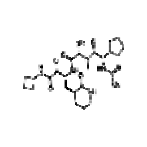 CCC[C@@H](C(=O)N[C@@H](C[C@@H]1CCCNC1=O)C(=O)C(=O)NC1CCC1)N(C)C(=O)[C@H](NC(=O)C(C)(C)C)C1CCCC1